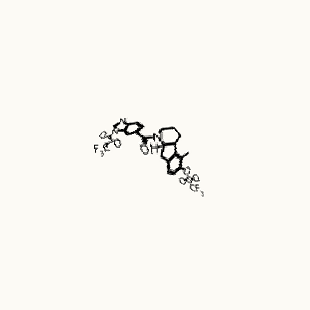 Cc1c(OS(=O)(=O)C(F)(F)F)ccc2c1C1CCCN(C(=O)c3ccc4ncn(S(=O)(=O)C(F)(F)F)c4c3)[C@H]1C2